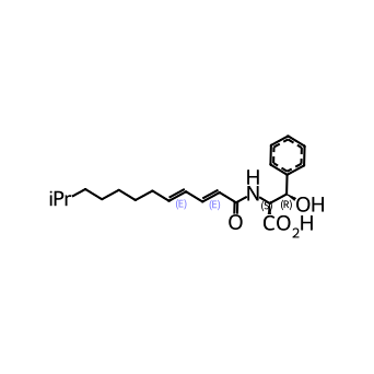 CC(C)CCCCC/C=C/C=C/C(=O)N[C@H](C(=O)O)[C@H](O)c1ccccc1